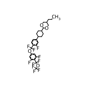 CCCC1COC(C2CCC(c3ccc(C(F)(F)Oc4cc(F)c(C(F)(F)OC(F)(F)F)c(F)c4)c(F)c3)CC2)OC1